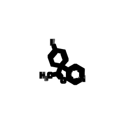 CC(=O)C1(c2ccncc2)C=CC(F)=CC1